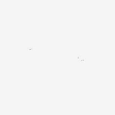 C=CC(=O)OCC1CSC(CSC(C)SCC2SCC(COC(=O)C=C)S2)S1